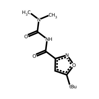 CN(C)C(=O)NC(=O)c1cc(C(C)(C)C)on1